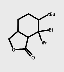 CCC1(C(C)C)C2C(=O)OCC2CCC1C(C)(C)C